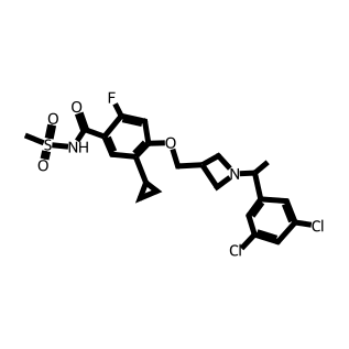 CC(c1cc(Cl)cc(Cl)c1)N1CC(COc2cc(F)c(C(=O)NS(C)(=O)=O)cc2C2CC2)C1